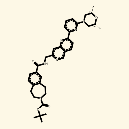 C[C@@H]1CN(c2cccc(-c3ccc4cnc(CNC(=O)c5ccc6c(c5)CCN(C(=O)OC(C)(C)C)CC6)cc4n3)n2)C[C@H](C)O1